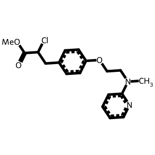 COC(=O)C(Cl)Cc1ccc(OCCN(C)c2ccccn2)cc1